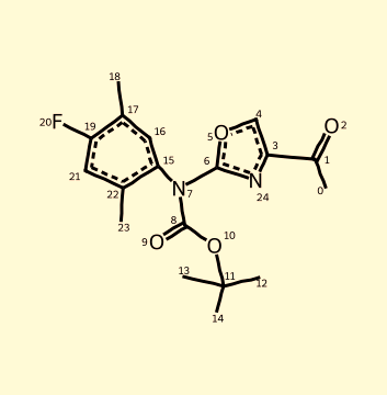 CC(=O)c1coc(N(C(=O)OC(C)(C)C)c2cc(C)c(F)cc2C)n1